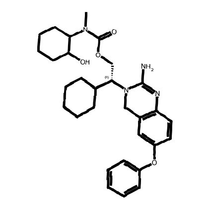 CN(C(=O)OC[C@@H](C1CCCCC1)N1Cc2cc(Oc3ccccc3)ccc2N=C1N)C1CCCCC1O